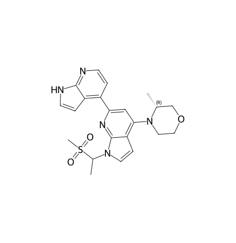 CC(n1ccc2c(N3CCOC[C@H]3C)cc(-c3ccnc4[nH]ccc34)nc21)S(C)(=O)=O